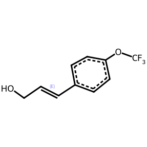 OC/C=C/c1ccc(OC(F)(F)F)cc1